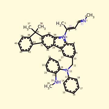 C/N=C/C=C(\C)n1c2ccc(CN(c3ccccc3)c3ccccc3NC)cc2c2cc3c(cc21)C(C)(C)c1ccccc1-3